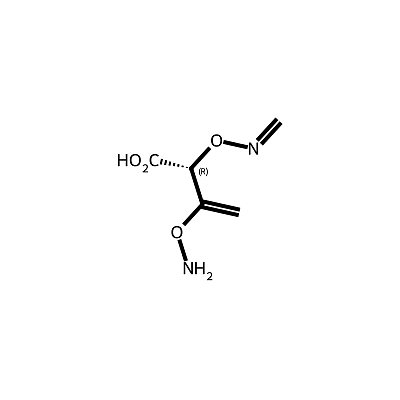 C=NO[C@H](C(=C)ON)C(=O)O